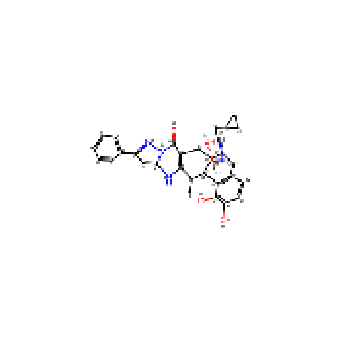 C[C@H]1c2[nH]c3cc(-c4ccccc4)nn3c(=O)c2C[C@@]2(O)[C@H]3Cc4ccc(O)c(O)c4[C@@]12CCN3CC1CC1